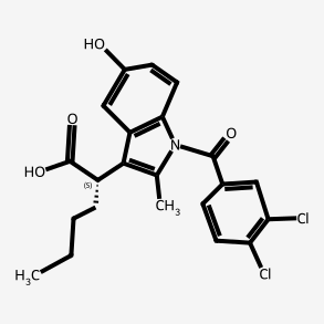 CCCC[C@H](C(=O)O)c1c(C)n(C(=O)c2ccc(Cl)c(Cl)c2)c2ccc(O)cc12